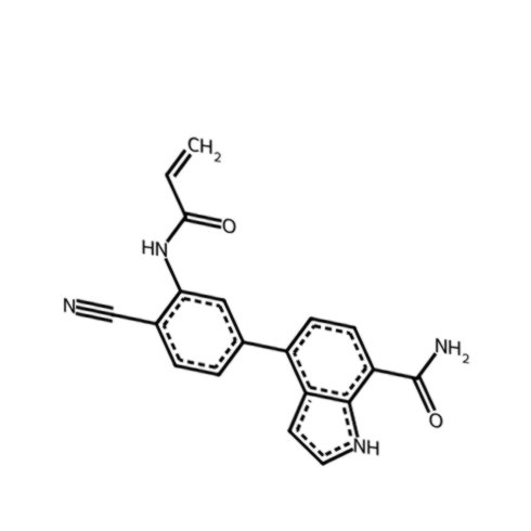 C=CC(=O)Nc1cc(-c2ccc(C(N)=O)c3[nH]ccc23)ccc1C#N